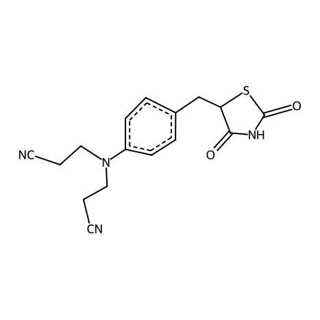 N#CCCN(CCC#N)c1ccc(CC2SC(=O)NC2=O)cc1